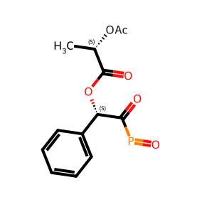 CC(=O)O[C@@H](C)C(=O)O[C@H](C(=O)P=O)c1ccccc1